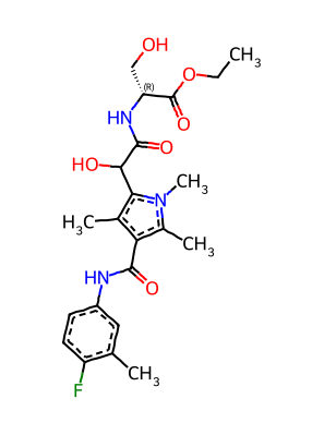 CCOC(=O)[C@@H](CO)NC(=O)C(O)c1c(C)c(C(=O)Nc2ccc(F)c(C)c2)c(C)n1C